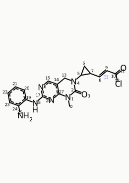 CN1C(=O)N(C2CC2/C=C/C(=O)Cl)Cc2cnc(Nc3ccccc3N)nc21